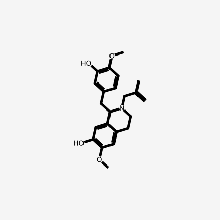 C=C(C)CN1CCc2cc(OC)c(O)cc2C1Cc1ccc(OC)c(O)c1